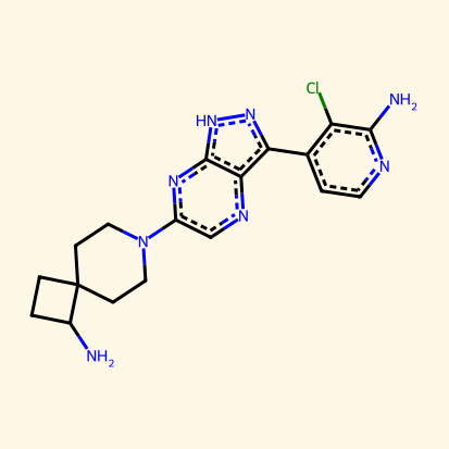 Nc1nccc(-c2n[nH]c3nc(N4CCC5(CCC5N)CC4)cnc23)c1Cl